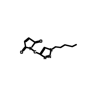 CCCCCn1cc(CN2C(=O)C=CC2=O)nn1